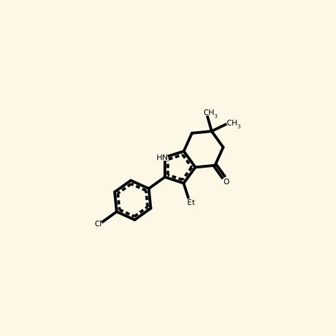 CCc1c(-c2ccc(Cl)cc2)[nH]c2c1C(=O)CC(C)(C)C2